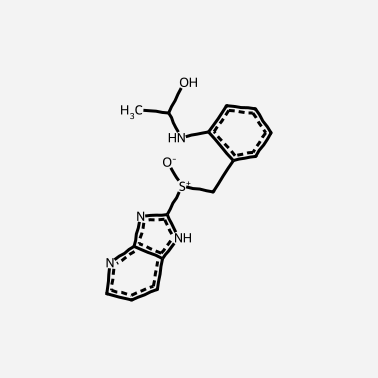 CC(O)Nc1ccccc1C[S+]([O-])c1nc2ncccc2[nH]1